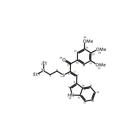 CCN(CC)CCS/C(=C\c1c[nH]c2ccccc12)C(=O)c1cc(OC)c(OC)c(OC)c1